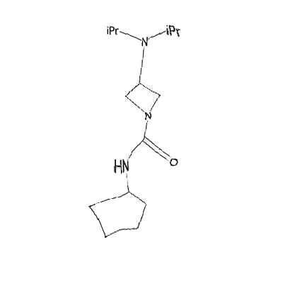 CC(C)N(C(C)C)C1CN(C(=O)NC2CCCC2)C1